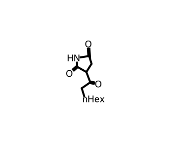 CCCCCCCC(=O)C1CC(=O)NC1=O